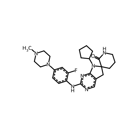 CN1CCN(c2ccc(Nc3ncc4c(n3)N(C3CCCC3)C3(CCCNC3=O)C4)c(F)c2)CC1